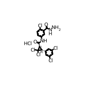 Cl.NNC(=O)c1cc(NC(=O)[C@H]2[C@H](c3cc(Cl)cc(Cl)c3)C2(Cl)Cl)ccc1Cl